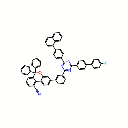 N#Cc1cccc2c1-c1ccc(-c3cccc(-c4nc(-c5ccc(-c6ccc(F)cc6)cc5)nc(-c5ccc(-c6cccc7ccccc67)cc5)n4)c3)cc1OC2(c1ccccc1)c1ccccc1